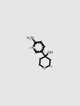 Nc1ccc(C2(O)CCOCC2)cn1